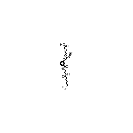 CCCCCCC(=O)NCCNC(=O)c1cccc(OCC(N=[N+]=[N-])OCCOCC(=O)O)c1